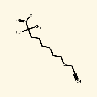 C#CCOCCOCCCC(C)(C)[N+](=O)[O-]